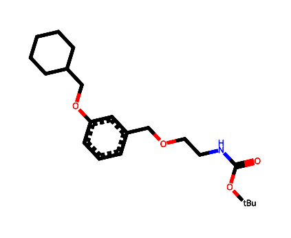 CC(C)(C)OC(=O)NCCOCc1cccc(OCC2CCCCC2)c1